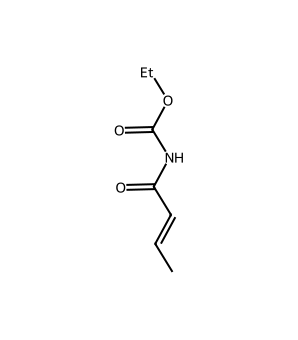 CC=CC(=O)NC(=O)OCC